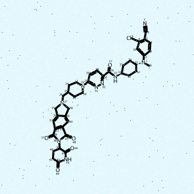 CN(c1ccc(C#N)c(Cl)c1)[C@H]1CC[C@H](NC(=O)c2ccc(N3CCC(CN4Cc5cc6c(cc5C4)C(=O)N(C4CCC(=O)NC4=O)C6=O)CC3)nn2)CC1